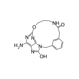 Nc1nc2nc3c1nc(O)n3Cc1cccc(c1)CC(=O)NCCCO2